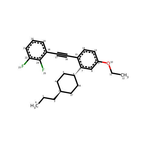 CCC[C@H]1CC[C@H](c2cc(OCC)ccc2C#Cc2cccc(F)c2F)CC1